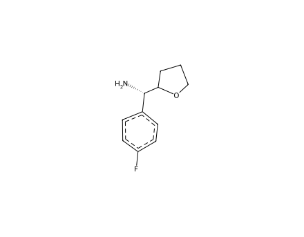 N[C@@H](c1ccc(F)cc1)C1CCCO1